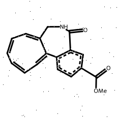 COC(=O)c1ccc2c(c1)C(=O)NCC1=C/C=C\C=C/C=C\12